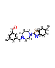 Cc1cc(C=O)cc(CN2CCCN(c3nc4ccc(C)cc4s3)CC2)c1